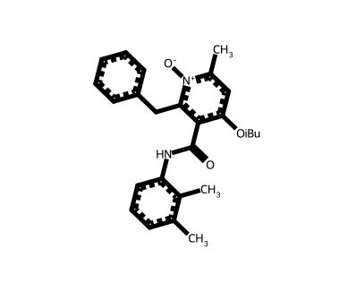 Cc1cccc(NC(=O)c2c(OCC(C)C)cc(C)[n+]([O-])c2Cc2ccccc2)c1C